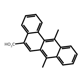 Cc1c2ccccc2c(C)c2c1cc(C(=O)O)c1ccccc12